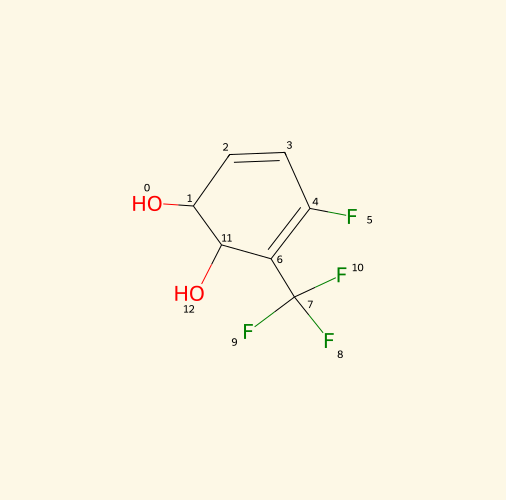 OC1C=CC(F)=C(C(F)(F)F)C1O